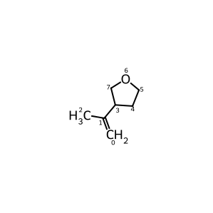 C=C(C)C1CCOC1